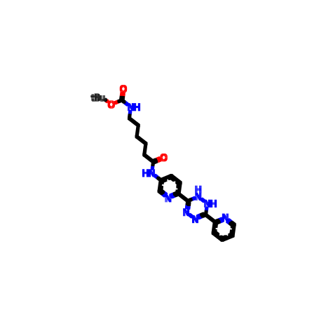 CC(C)(C)OC(=O)NCCCCCC(=O)Nc1ccc(C2=NN=C(c3ccccn3)NN2)nc1